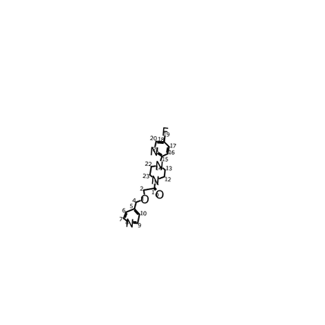 O=C(COCc1ccncc1)N1CCN(c2ccc(F)cn2)CC1